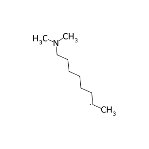 C[CH]CCCCCCN(C)C